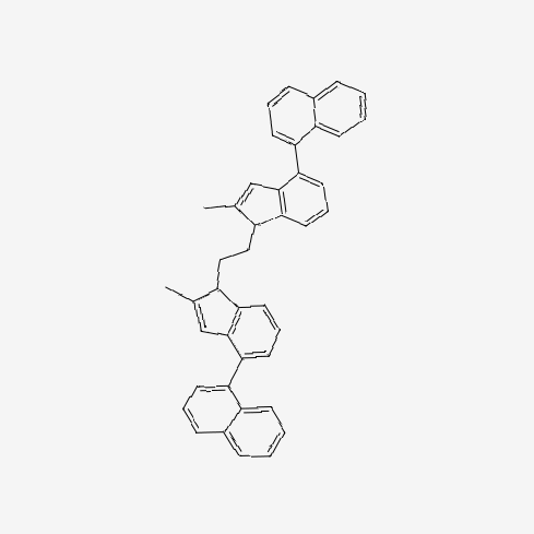 CC1=Cc2c(cccc2-c2cccc3ccccc23)[C]1CC[C]1C(C)=Cc2c1cccc2-c1cccc2ccccc12